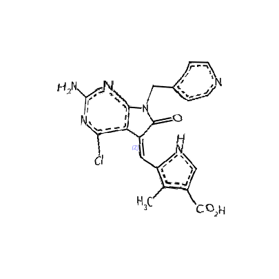 Cc1c(C(=O)O)c[nH]c1/C=C1\C(=O)N(Cc2ccncc2)c2nc(N)nc(Cl)c21